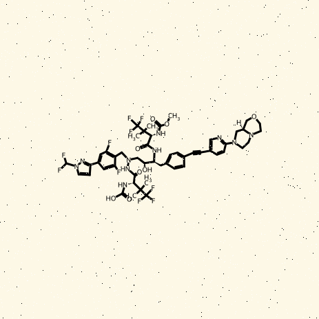 COC(=O)N[C@H](C(=O)N[C@@H](Cc1ccc(C#Cc2ccc(N3CCN4CCOC[C@@H]4C3)nc2)cc1)[C@@H](O)CN(Cc1c(F)cc(-c2ccn(C(F)F)n2)cc1F)NC(=O)[C@@H](NC(=O)O)C(C)(C)C(F)(F)F)C(C)(C)C(F)(F)F